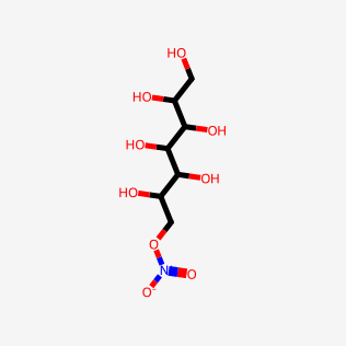 O=[N+]([O-])OCC(O)C(O)C(O)C(O)C(O)CO